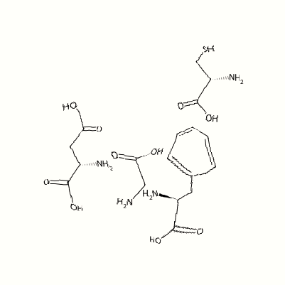 NCC(=O)O.N[C@@H](CC(=O)O)C(=O)O.N[C@@H](CS)C(=O)O.N[C@@H](Cc1ccccc1)C(=O)O